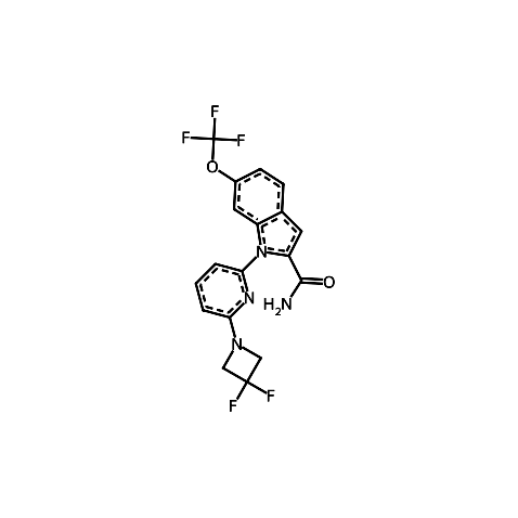 NC(=O)c1cc2ccc(OC(F)(F)F)cc2n1-c1cccc(N2CC(F)(F)C2)n1